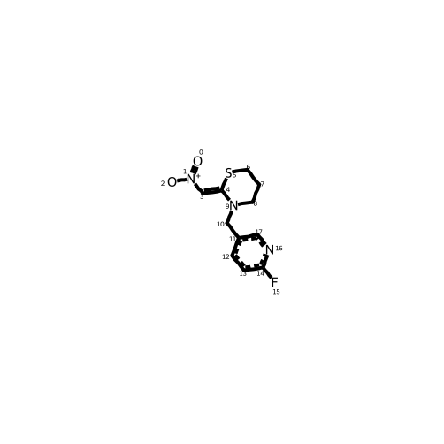 O=[N+]([O-])C=C1SCCCN1Cc1ccc(F)nc1